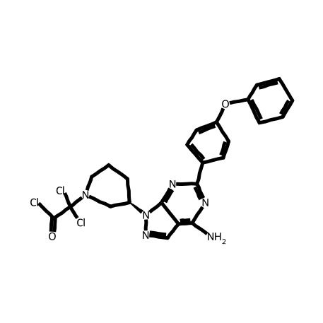 Nc1nc(-c2ccc(Oc3ccccc3)cc2)nc2c1cnn2[C@@H]1CCCN(C(Cl)(Cl)C(=O)Cl)C1